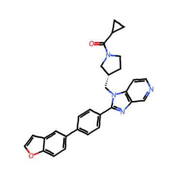 O=C(C1CC1)N1CC[C@H](Cn2c(-c3ccc(-c4ccc5occc5c4)cc3)nc3cnccc32)C1